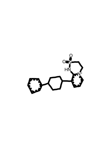 O=S1(=O)CC[n+]2cccc(C3CCC(c4ccccc4)CC3)c2N1